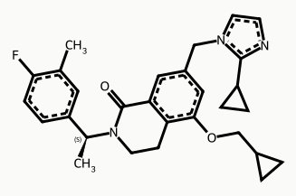 Cc1cc([C@H](C)N2CCc3c(OCC4CC4)cc(Cn4ccnc4C4CC4)cc3C2=O)ccc1F